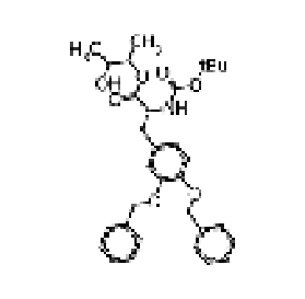 CC(O)C(C)OC(=O)[C@H](Cc1ccc(OCc2ccccc2)c(OCc2ccccc2)c1)NC(=O)OC(C)(C)C